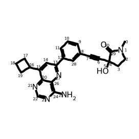 CN1CCC(O)(C#Cc2cccc(-c3cc(C4CCC4)c4ncnc(N)c4n3)c2)C1=O